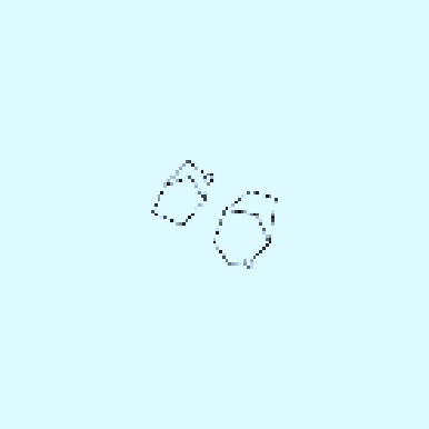 C1CC2CC1CO2.C1CC2CCC(C2)O1